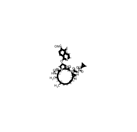 COc1ccc2c(O[C@@H]3C[C@H]4C(=O)N[C@]5(C(=O)NS(=O)(=O)C6CC6)C[C@H]5C=CCC[C@@H](C)C[C@@H](C)[C@H](NC(=O)O)C(=O)N4C3)nccc2c1F